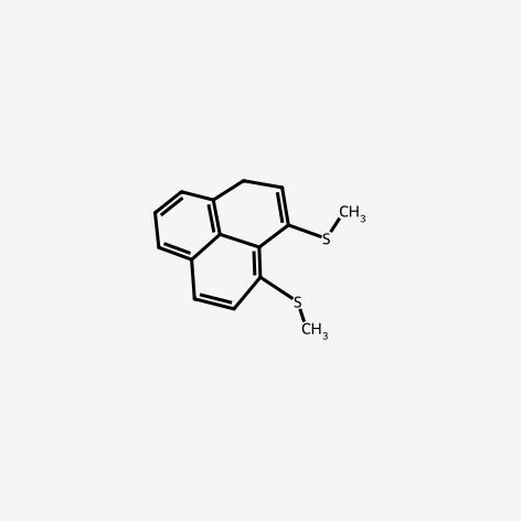 CSC1=CCc2cccc3ccc(SC)c1c23